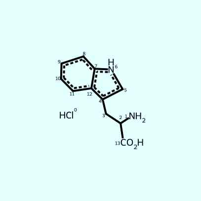 Cl.NC(Cc1c[nH]c2ccccc12)C(=O)O